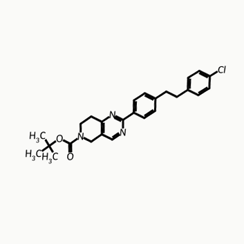 CC(C)(C)OC(=O)N1CCc2nc(-c3ccc(CCc4ccc(Cl)cc4)cc3)ncc2C1